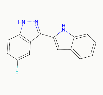 Fc1ccc2[nH]nc(-c3cc4ccccc4[nH]3)c2c1